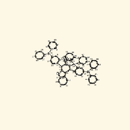 CC1(C)c2cc(N(c3ccccc3)c3ccccc3)ccc2-c2c1c1c(c3c2oc2ccccc23)-c2ccc(N(c3ccccc3)c3ccccc3)cc2C12c1ccccc1-c1ccccc12